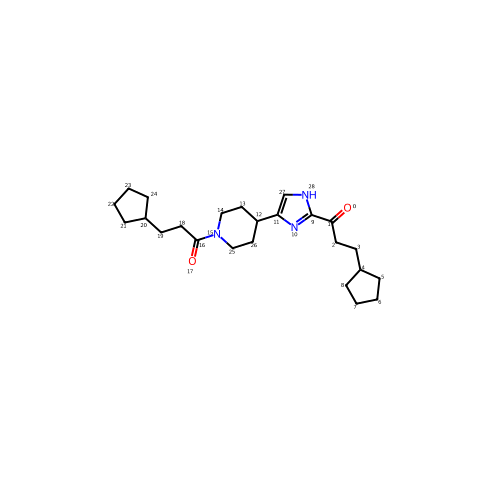 O=C(CCC1CCCC1)c1nc(C2CCN(C(=O)CCC3CCCC3)CC2)c[nH]1